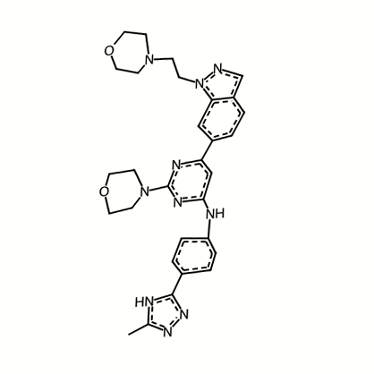 Cc1nnc(-c2ccc(Nc3cc(-c4ccc5cnn(CCN6CCOCC6)c5c4)nc(N4CCOCC4)n3)cc2)[nH]1